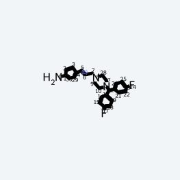 Nc1ccc(/C=C/CN2CCN(C(c3ccc(F)cc3)c3ccc(F)cc3)CC2)cc1